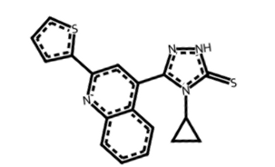 S=c1[nH]nc(-c2cc(-c3cccs3)nc3ccccc23)n1C1CC1